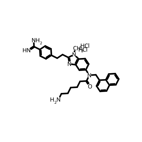 Cl.Cl.Cn1c(CCc2ccc(C(=N)N)cc2)nc2cc(N(Cc3cccc4ccccc34)C(=O)CCCCCN)ccc21